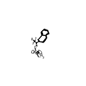 CS(=O)(=O)O/N=C(/c1ccc2ccccc2c1)C(F)(F)F